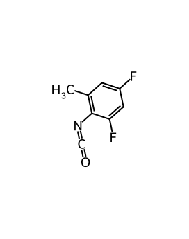 Cc1cc(F)cc(F)c1N=C=O